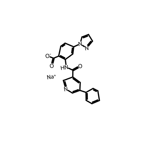 O=C(Nc1cc(-n2cccn2)ccc1C(=O)[O-])c1cncc(-c2ccccc2)c1.[Na+]